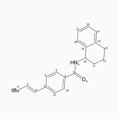 CC(C)(C)C=Cc1ccc(C(=O)NC2CCCc3ccccc32)cc1